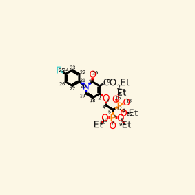 CCOC(=O)c1c(OCC(P(=O)(OCC)OCC)P(=O)(OCC)OCC)ccn(-c2ccc(F)cc2)c1=O